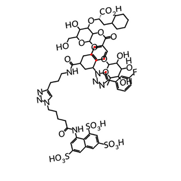 CC1OC(OC2C(OC3OC(CO)C(O)C(O[C@@H](CC4CCCCC4)C(=O)O)C3OC(=O)c3ccccc3)CC(C(=O)NCCCc3cn(CCCCC(=O)Nc4cc(S(=O)(=O)O)cc5cc(S(=O)(=O)O)cc(S(=O)(=O)O)c45)nn3)CC2n2cc(-c3cccc(F)c3)nn2)C(O)C(O)C1O